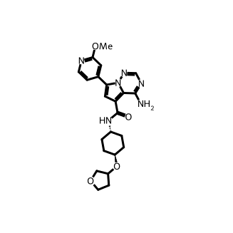 COc1cc(-c2cc(C(=O)N[C@H]3CC[C@H](OC4CCOC4)CC3)c3c(N)ncnn23)ccn1